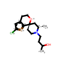 CC(O)CCN1CC[C@]2(C[C@@H]1C)OCCc1cc(Cl)sc12